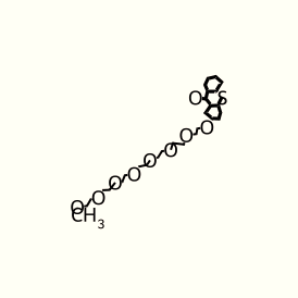 COCCOCCOCCOCCOCCOCCOCCOc1ccc2sc3ccccc3c(=O)c2c1